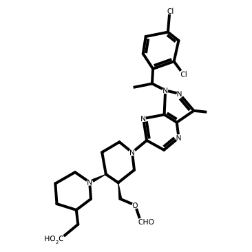 Cc1nn(C(C)c2ccc(Cl)cc2Cl)c2nc(N3CC[C@H](N4CCCC(CC(=O)O)C4)[C@H](COC=O)C3)cnc12